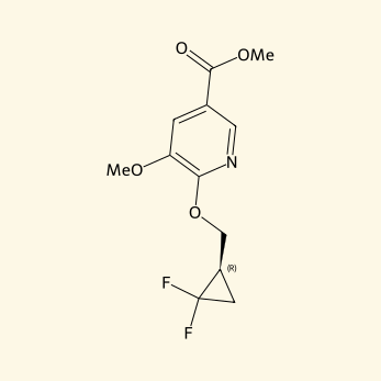 COC(=O)c1cnc(OC[C@H]2CC2(F)F)c(OC)c1